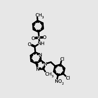 Cc1ccc(S(=O)(=O)NC(=O)c2ccc3nc(C)n(Cc4cc([N+](=O)[O-])c(Cl)cc4Cl)c3n2)cc1